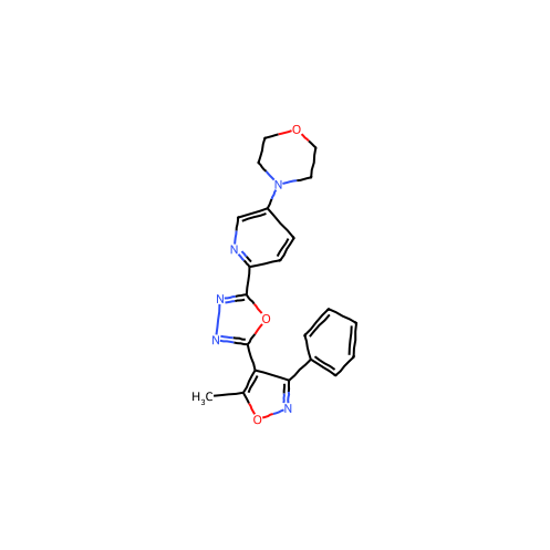 Cc1onc(-c2ccccc2)c1-c1nnc(-c2ccc(N3CCOCC3)cn2)o1